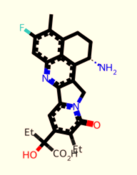 CCc1c(C(O)(CC)C(=O)O)cc2n(c1=O)Cc1c-2nc2cc(F)c(C)c3c2c1[C@@H](N)CC3